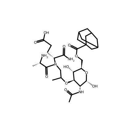 CC(=O)N[C@@H]1[C@@H](OC(C)CN(C(=O)[C@H](C)N)[C@H](CCC(=O)O)C(N)=O)[C@H](O)[C@@H](COC(=O)C23CC4CC(CC(C4)C2)C3)O[C@@H]1O